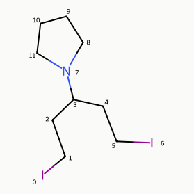 ICCC(CCI)N1CCCC1